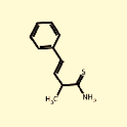 CC(C=Cc1ccccc1)C(N)=S